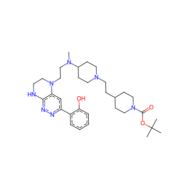 CN(CCN1CCNc2nnc(-c3ccccc3O)cc21)C1CCN(CCC2CCN(C(=O)OC(C)(C)C)CC2)CC1